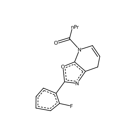 CCCC(=O)N1C=CCc2nc(-c3ccccc3F)oc21